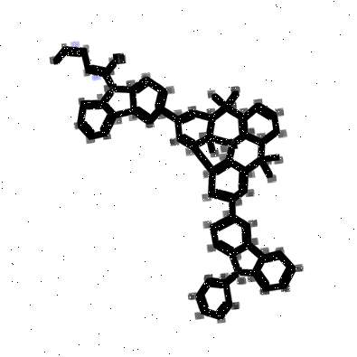 C/C=C\C=C(/CC)p1c2ccccc2c2cc(C3=CC4C(C)(C)C5=C6C(CC=C5)C(C)(C)c5cc(-c7ccc8c(c7)c7ccccc7p8-c7ccccc7)cc7c5N6C4(C)C7=C3)ccc21